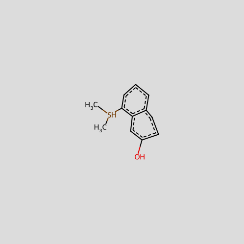 C[SH](C)c1cccc2ccc(O)cc12